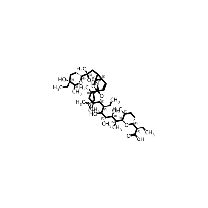 CC[C@@H](C(=O)O)[C@H]1CC[C@H](C)[C@H]([C@@H](C)[C@H](O)[C@H](C)C(O)[C@H](CC)[C@H]2OC3(C=C[C@]4(NCCCN(C)C)C5C[C@@](C)([C@H]6CC[C@](O)(CC)[C@H](C)O6)O[C@]54O3)[C@H](C)C[C@@H]2C)O1